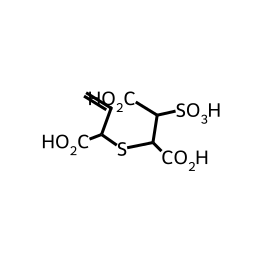 C=CC(SC(C(=O)O)C(C(=O)O)S(=O)(=O)O)C(=O)O